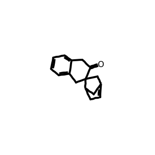 O=C1Cc2ccccc2CC12CC1=CCC2C1